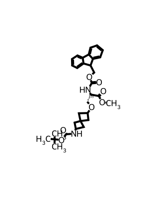 COC(=O)[C@H](COC1CC2(CC(NC(=O)OC(C)(C)C)C2)C1)NC(=O)OCC1c2ccccc2-c2ccccc21